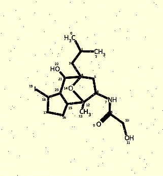 CC(C)CC12CC(NC(=O)CO)C(C)(O1)C1CCC(I)C1C2O